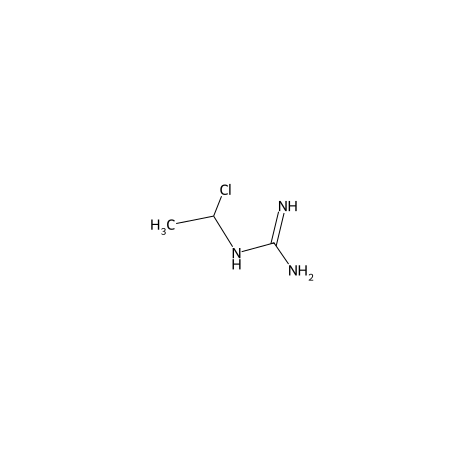 CC(Cl)NC(=N)N